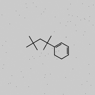 CC(C)(C)CC(C)(C)C1=CC=CCC1